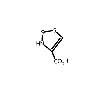 O=C(O)C1=CSSN1